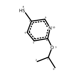 CC(C)Oc1ccc(S)cn1